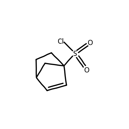 O=S(=O)(Cl)C12C=CC(CC1)C2